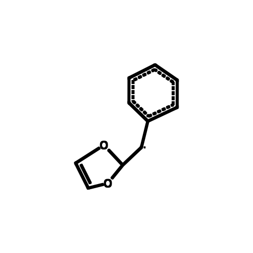 [CH](c1ccccc1)C1OC=CO1